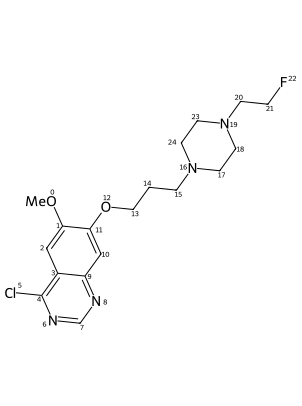 COc1cc2c(Cl)ncnc2cc1OCCCN1CCN(CCF)CC1